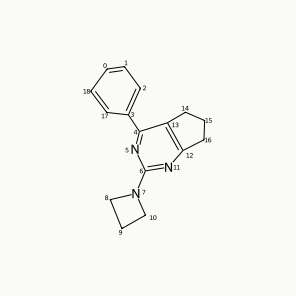 c1ccc(-c2nc(N3CCC3)nc3c2CCC3)cc1